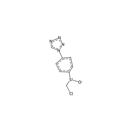 [O-][S+](CCl)c1ccc(-n2cnnn2)cc1